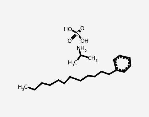 CC(C)N.CCCCCCCCCCCCc1ccccc1.O=S(=O)(O)O